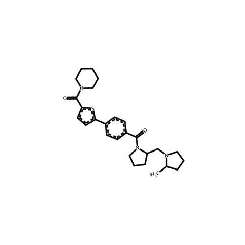 CC1CCCN1CC1CCCN1C(=O)c1ccc(-c2ccc(C(=O)N3CCCCC3)s2)cc1